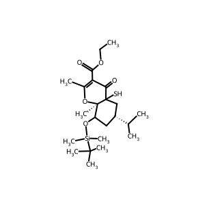 CCOC(=O)C1=C(C)O[C@]2(C)C(O[Si](C)(C)C(C)(C)C)C[C@@H](C(C)C)CC2(S)C1=O